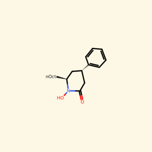 CCCCCCCC[C@H]1C[C@H](c2ccccc2)CC(=O)N1O